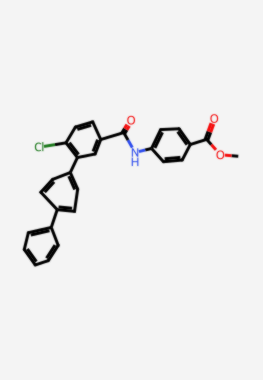 COC(=O)c1ccc(NC(=O)c2ccc(Cl)c(-c3ccc(-c4ccccc4)cc3)c2)cc1